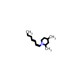 CCC/C=C/C=C\N1CCC(C)CC1C